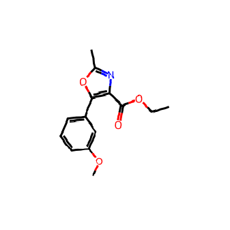 CCOC(=O)c1nc(C)oc1-c1cccc(OC)c1